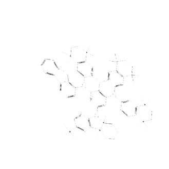 CC(C)(C)c1ccc2c(c1)C1(C)CCCCC1(C)N2c1cc2c3c(c1)N(c1cccc4c1sc1ccccc14)c1cc4c(cc1B3c1cc3c(cc1N2c1ccc2c(c1)C(C)(C)CCC2(C)C)C(C)(C)CCC3(C)C)C(C)(C)CCC4(C)C